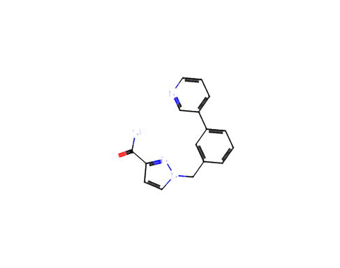 NC(=O)c1[c]cn(Cc2cccc(-c3cccnc3)c2)n1